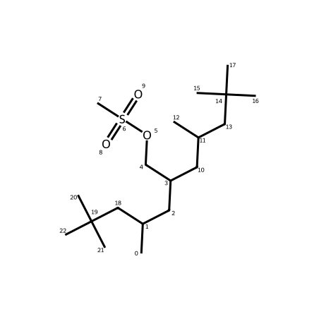 CC(CC(COS(C)(=O)=O)CC(C)CC(C)(C)C)CC(C)(C)C